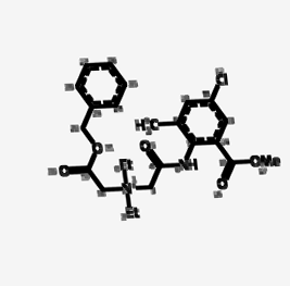 CC[N+](CC)(CC(=O)Nc1c(C)cc(Cl)cc1C(=O)OC)CC(=O)OCc1ccccc1